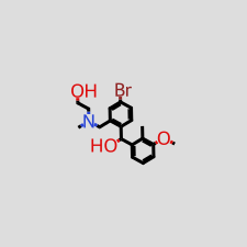 COc1cccc(C(O)c2ccc(Br)cc2CN(C)CCO)c1C